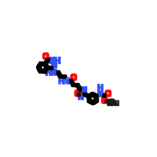 CC(C)(C)OC(=O)Nc1cccc(-c2noc(CCC(=O)NCCCNc3n[nH]c(=O)c4ccccc34)n2)c1